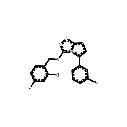 Fc1ccc(CSc2nnc3scc(-c4cccc(Br)c4)n23)c(Cl)c1